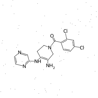 NC1=C(Nc2cnccn2)CCN(C(=O)c2ccc(Cl)cc2Cl)C1